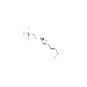 FC(F)CCCC[SiH2]CC[Si](F)(F)F